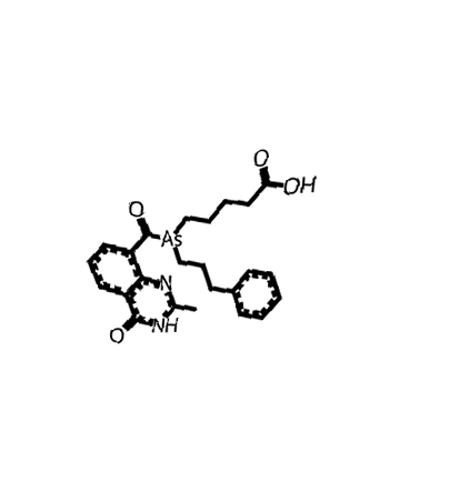 Cc1nc2c(C(=O)[As](CCCCC(=O)O)CCCc3ccccc3)cccc2c(=O)[nH]1